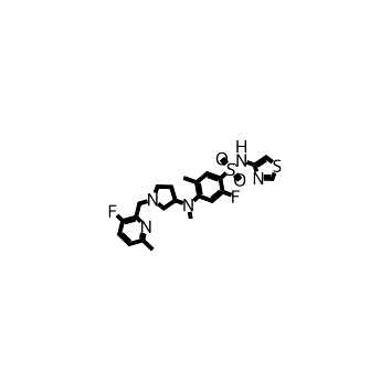 Cc1ccc(F)c(CN2CCC(N(C)c3cc(F)c(S(=O)(=O)Nc4cscn4)cc3C)C2)n1